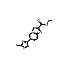 CCOC(=O)c1cn2cc(-c3noc(C)n3)ccc2n1